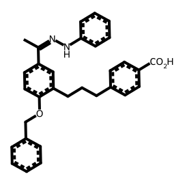 CC(=NNc1ccccc1)c1ccc(OCc2ccccc2)c(CCCc2ccc(C(=O)O)cc2)c1